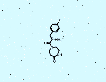 N[C@@H](Cc1ccc(F)cc1)C(=O)N1CCNC(=O)CC1